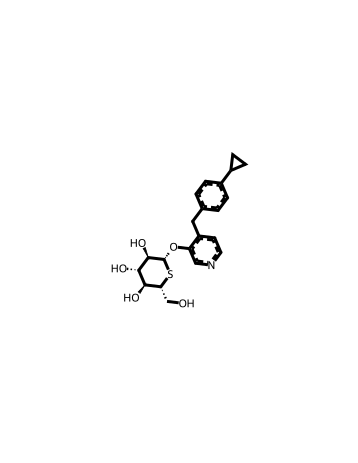 OC[C@H]1S[C@@H](Oc2cnccc2Cc2ccc(C3CC3)cc2)[C@H](O)[C@@H](O)[C@@H]1O